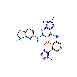 COc1c(Nc2cc(Nc3ccc4c(n3)C(F)(F)CC4)nc3[nH]c(C)nc23)cccc1-c1ncnn1C